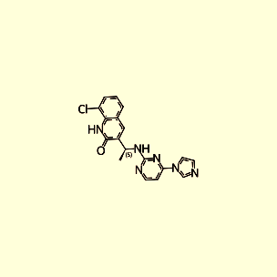 C[C@H](Nc1nccc(-n2ccnc2)n1)c1cc2cccc(Cl)c2[nH]c1=O